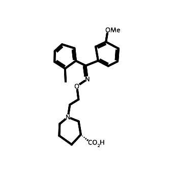 COc1cccc(/C(=N/OCCN2CCC[C@@H](C(=O)O)C2)c2ccccc2C)c1